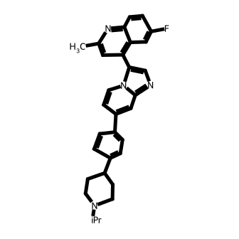 Cc1cc(-c2cnc3cc(-c4ccc(C5CCN(C(C)C)CC5)cc4)ccn23)c2cc(F)ccc2n1